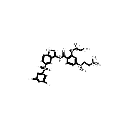 COC[C@H](C)Nc1cc(N(C)CCN(C)C)ccc1C(=O)Nc1n[nH]c2ccc(S(=O)(=O)c3cc(F)cc(F)c3)cc12